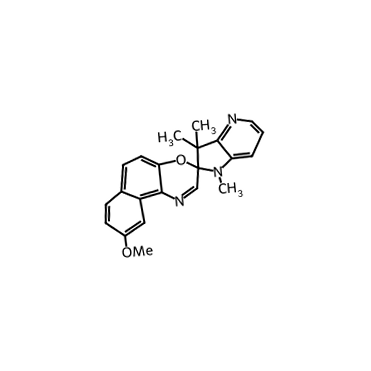 COc1ccc2ccc3c(c2c1)N=CC1(O3)N(C)c2cccnc2C1(C)C